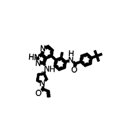 C=CC(=O)N1CC[C@@H](Nc2n[nH]c3nccc(-c4cccc(NC(=O)c5ccc(C(C)(C)C)cc5)c4C)c23)C1